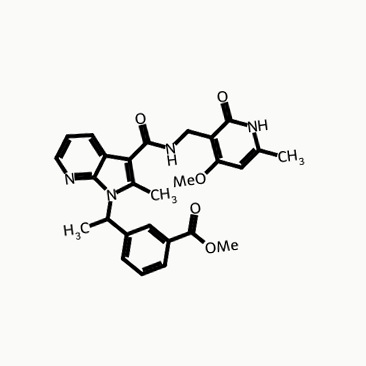 COC(=O)c1cccc(C(C)n2c(C)c(C(=O)NCc3c(OC)cc(C)[nH]c3=O)c3cccnc32)c1